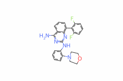 Nc1nc(Nc2ccccc2N2CCOCC2)nc2c(-c3c(F)cccc3F)cccc12